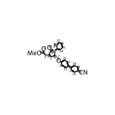 COC(=O)C[C@@H]1C[C@@H](COc2ccc(-c3ccc(C#N)cc3)cc2)N(c2ccccn2)C1=O